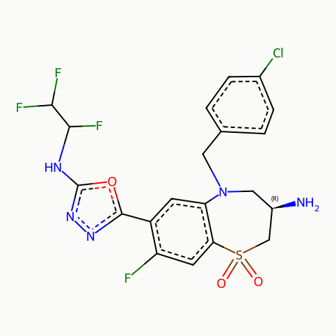 N[C@@H]1CN(Cc2ccc(Cl)cc2)c2cc(-c3nnc(NC(F)C(F)F)o3)c(F)cc2S(=O)(=O)C1